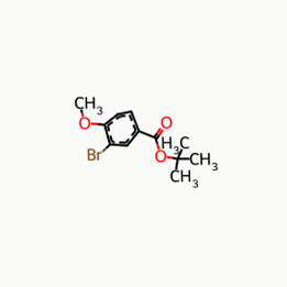 COc1ccc(C(=O)OC(C)(C)C)cc1Br